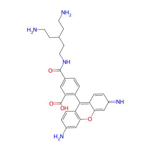 N=c1ccc2c(-c3ccc(C(=O)NCCC(CCN)CCN)cc3C(=O)O)c3ccc(N)cc3oc-2c1